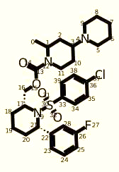 CC1CC(N2CCCCC2)CCN1C(=O)OC[C@H]1CCC[C@@H](c2cccc(F)c2)N1S(=O)(=O)c1ccc(Cl)cc1